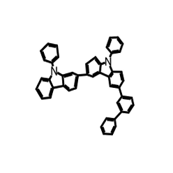 c1ccc(-c2cccc(-c3ccc4c(c3)c3cc(-c5ccc6c7ccccc7n(-c7ccccc7)c6c5)ccc3n4-c3ccccc3)c2)cc1